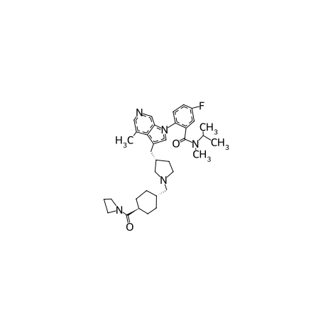 Cc1cncc2c1c(C[C@@H]1CCN(C[C@H]3CC[C@H](C(=O)N4CCC4)CC3)C1)cn2-c1ccc(F)cc1C(=O)N(C)C(C)C